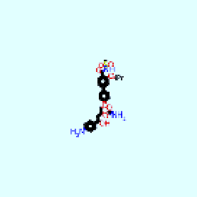 CC(C)Oc1cc(-c2ccc(OCC(C[C@@H](O)c3ccc(N)cc3)OC(N)=O)cc2)ccc1C(=O)NS(C)(=O)=O